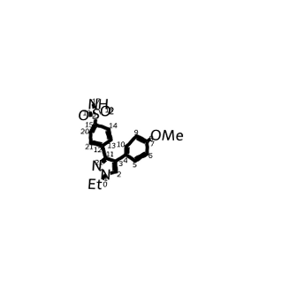 CCn1cc(-c2ccc(OC)cc2)c(-c2ccc(S(N)(=O)=O)cc2)n1